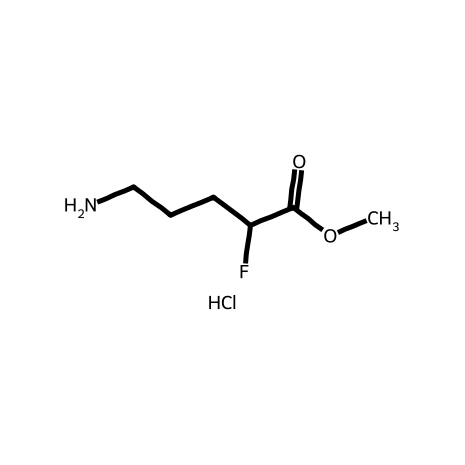 COC(=O)C(F)CCCN.Cl